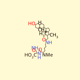 CNC(CCCCNC(=O)CCC(C)C1CCC2C3CC[C@H]4C[C@@H](O)CC[C@@]4(C)C3CC[C@@]12C)C(=O)NC(CON)C(=O)O